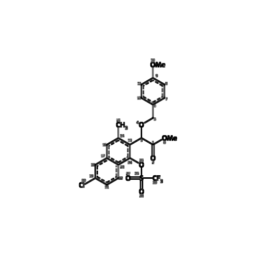 COC(=O)C(OCc1ccc(OC)cc1)c1c(C)cc2cc(Cl)ccc2c1OS(=O)(=O)C(F)(F)F